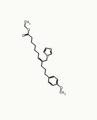 CCOC(=O)CCCCCC=C(CCCc1ccc(OC)cc1)Cn1ccnc1